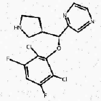 Fc1cc(F)c(Cl)c(O[C@H](c2cnccn2)[C@@H]2CCNC2)c1Cl